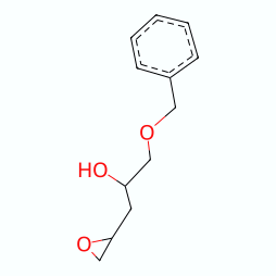 OC(COCc1ccccc1)CC1CO1